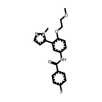 COCCOc1ccc(NC(=O)c2ccc(F)cc2)cc1-c1ccnn1C